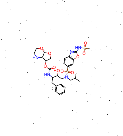 CC(C)CN(CC(O)C(Cc1ccccc1)NC(=O)OC1COC2OCCNC12)S(=O)(=O)c1ccc2nc(NS(C)(=O)=O)oc2c1